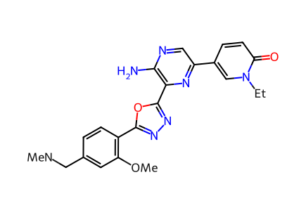 CCn1cc(-c2cnc(N)c(-c3nnc(-c4ccc(CNC)cc4OC)o3)n2)ccc1=O